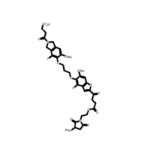 CCCC(C)C1CC(=O)N(CCOC(=O)CCC(=O)c2cc3c(F)c(OCCCOc4c(OC)cc5c(c4F)CN(C(=O)CCC(=O)O)C5)c(OC)cc3s2)C1=O